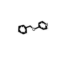 [c]1cc(OCc2ccccc2)ccn1